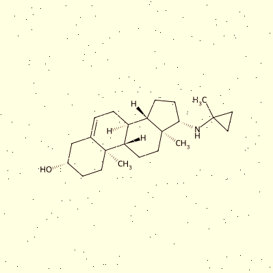 CC1(N[C@H]2CC[C@H]3[C@@H]4CC=C5C[C@@H](O)CC[C@]5(C)[C@H]4CC[C@]23C)CC1